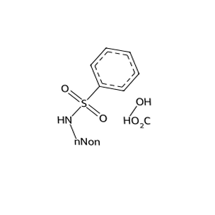 CCCCCCCCCNS(=O)(=O)c1ccccc1.O=C(O)O